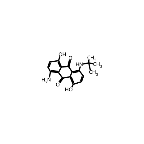 CC(C)(C)Nc1ccc(O)c2c1C(=O)c1c(O)ccc(N)c1C2=O